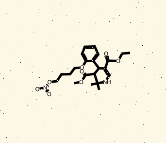 CCOC(=O)C1=CNC(C)(C)C(C(=O)OC)C1c1ccccc1OCCCCO[N+](=O)[O-]